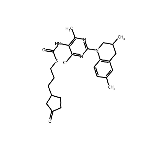 Cc1ccc2c(c1)CC(C)CN2c1nc(C)c(NC(=O)SCCCC2CCC(=O)C2)c(Cl)n1